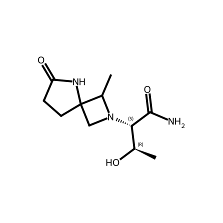 CC1N([C@H](C(N)=O)[C@@H](C)O)CC12CCC(=O)N2